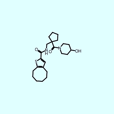 O=C(NCC1(C(=O)N2CCC(O)CC2)CCCC1)c1cc2c(s1)CCCCCC2